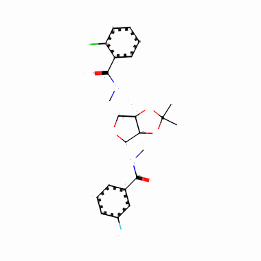 CC1(C)O[C@@H]2[C@@H](CNC(=O)c3ccccc3Cl)OC[C@]2(CNC(=O)c2cccc(F)c2)O1